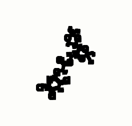 CC1(C)OC[C@H]([C@H]2OC(C)(C)O[C@@H]2COC(=O)COc2nc(Cl)c(Cl)cc2Cl)O1